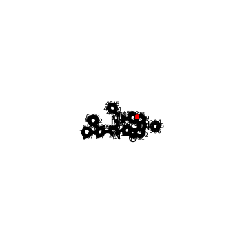 C1=CCCC(c2ccc(-c3cnc(-c4ccc5c(c4)oc4ccc6c(c7ccccc7n6-c6ccccc6)c45)c(-c4nc(-c5ccccc5)nc(-c5ccccc5)n4)c3)cc2-c2ccccc2)=C1